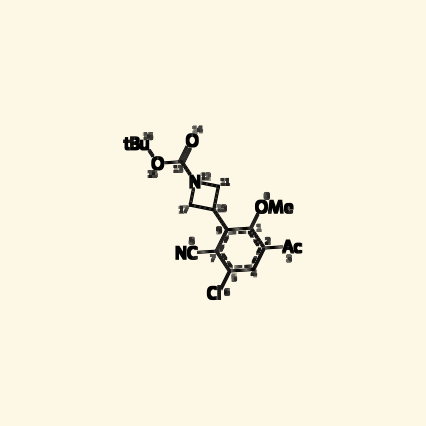 COc1c(C(C)=O)cc(Cl)c(C#N)c1C1CN(C(=O)OC(C)(C)C)C1